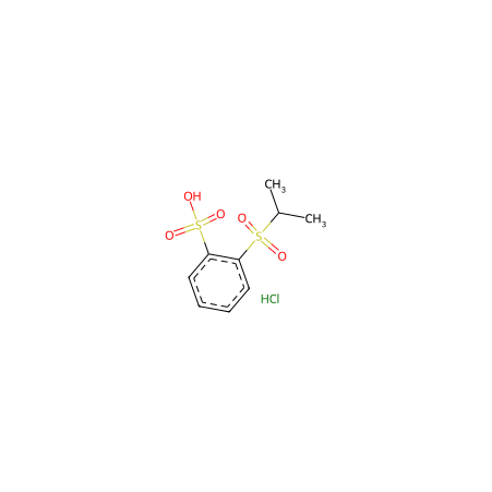 CC(C)S(=O)(=O)c1ccccc1S(=O)(=O)O.Cl